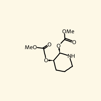 COC(=O)O[C@H]1NCCC[C@H]1OC(=O)OC